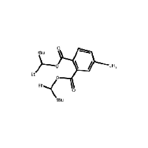 CCC(OC(=O)c1ccc(C)cc1C(=O)OC(CC)C(C)(C)C)C(C)(C)C